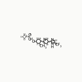 Cc1cc(OCOC(=O)C2CCC2)ccc1-c1ccc(-c2ncc(C(F)(F)F)[nH]2)cn1